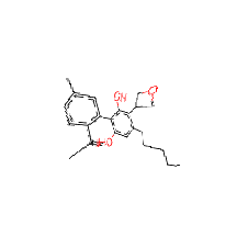 C=C(C)c1ccc(C)cc1-c1c(O)cc(CCCCC)c(C2COC2)c1O